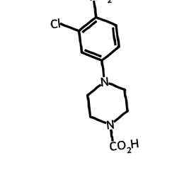 O=C(O)N1CCN(c2ccc([N+](=O)[O-])c(Cl)c2)CC1